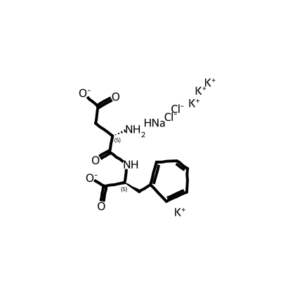 N[C@@H](CC(=O)[O-])C(=O)N[C@@H](Cc1ccccc1)C(=O)[O-].[Cl-].[Cl-].[K+].[K+].[K+].[K+].[NaH]